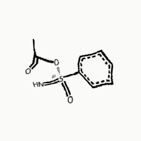 CC(=O)O[S@@](=N)(=O)c1ccccc1